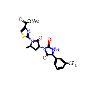 COC(=O)c1csc(N2C(=O)[C@@H](N3C(=O)NC(c4cccc(C(F)(F)F)c4)C3=O)CC2C)n1